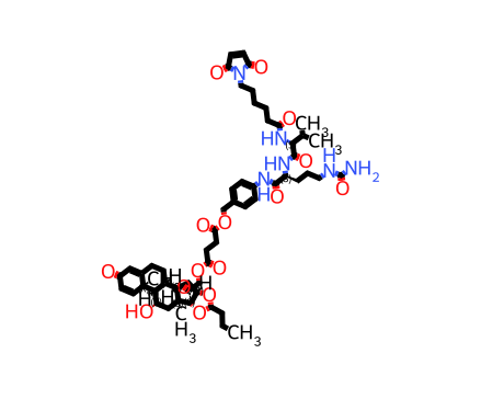 CCCC1O[C@@H]2C[C@H]3[C@@H]4CCC5=CC(=O)C=C[C@]5(C)[C@H]4[C@@H](O)C[C@]3(C)[C@]2(C(=O)COC(=O)CCC(=O)OCc2ccc(NC(=O)[C@H](CCCNC(N)=O)NC(=O)[C@@H](NC(=O)CCCCCN3C(=O)C=CC3=O)C(C)C)cc2)O1